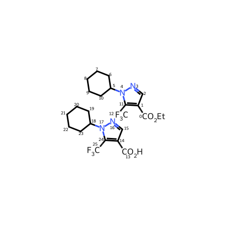 CCOC(=O)c1cnn(C2CCCCC2)c1C(F)(F)F.O=C(O)c1cnn(C2CCCCC2)c1C(F)(F)F